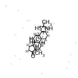 CC1=[SH]C2=C(CC[C@@]3(C)C2=CC[C@@H]2[C@@H]3CC[C@]3(C)C(=O)CC[C@@H]23)N1